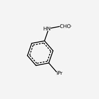 CC(C)c1cccc(N[C]=O)c1